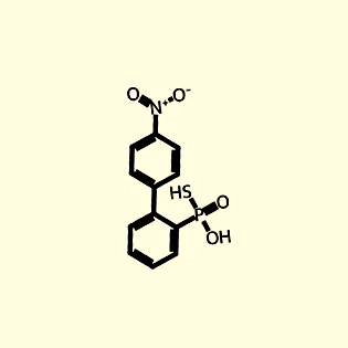 O=[N+]([O-])c1ccc(-c2ccccc2P(=O)(O)S)cc1